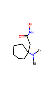 CCN(CC)C1(CC(=O)NO)CCCCC1